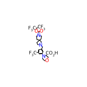 O=C(O)C1COCCN1c1cc(CN2CCC3(CCN(C(=O)OC(C(F)(F)F)C(F)(F)F)CC3)C2)cc(C(F)(F)F)c1